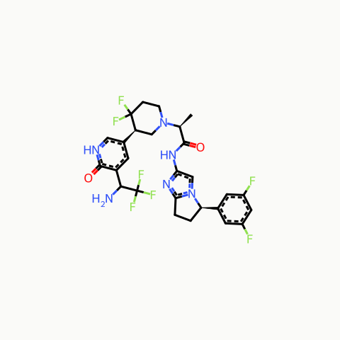 C[C@@H](C(=O)Nc1cn2c(n1)CC[C@@H]2c1cc(F)cc(F)c1)N1CCC(F)(F)[C@H](c2c[nH]c(=O)c(C(N)C(F)(F)F)c2)C1